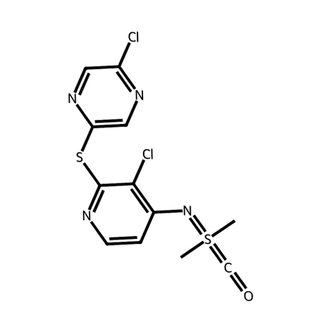 CS(C)(=C=O)=Nc1ccnc(Sc2cnc(Cl)cn2)c1Cl